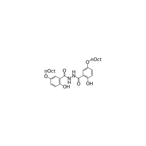 CCCCCCCCOc1ccc(O)c(C(=O)NNC(=O)c2cc(OCCCCCCCC)ccc2O)c1